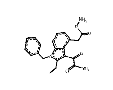 CCc1c(C(=O)C(N)=O)c2c(CC(=O)ON)cccc2n1Cc1ccccc1